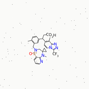 Cc1ccc(C(CC(=O)O)c2ccn3c(C(F)(F)F)nnc3c2C)cc1CN1CC2(CC2)N(C)c2ncccc2[S+]1[O-]